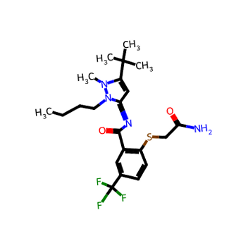 CCCCn1c(=NC(=O)c2cc(C(F)(F)F)ccc2SCC(N)=O)cc(C(C)(C)C)n1C